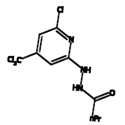 CCCC(=O)NNc1cc(C(Cl)(Cl)Cl)cc(Cl)n1